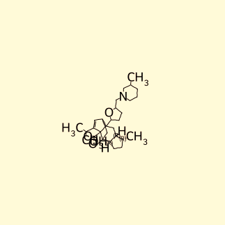 CC1CCCN(CC2CCC(C34C[C@@H]5[C@H](C)CC[C@H]5C5(C=O)CC3C=C(C(C)C)C45C(=O)O)O2)C1